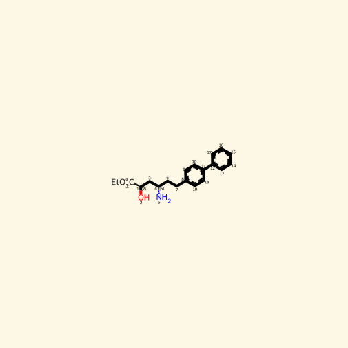 CCOC(=O)[C@H](O)C[C@@H](N)CCc1ccc(-c2ccccc2)cc1